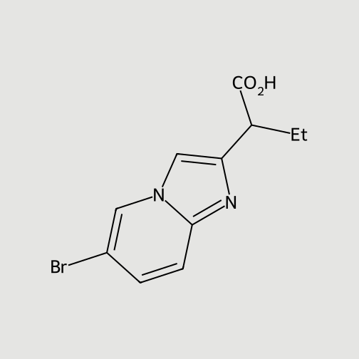 CCC(C(=O)O)c1cn2cc(Br)ccc2n1